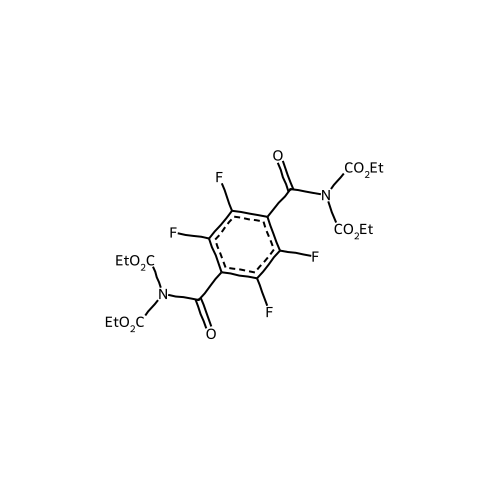 CCOC(=O)N(C(=O)OCC)C(=O)c1c(F)c(F)c(C(=O)N(C(=O)OCC)C(=O)OCC)c(F)c1F